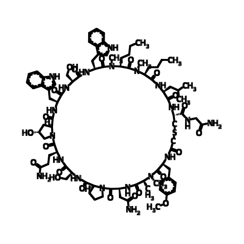 CCCC[C@H]1C(=O)N(C)[C@@H](CCCC)C(=O)N[C@@H](CC(C)C)C(=O)N[C@H](C(=O)NCC(N)=O)CSCC(=O)N[C@@H](Cc2ccc(OC)cc2)C(=O)N(C)[C@@H](C)C(=O)N[C@@H](CC(N)=O)C(=O)N2CCC[C@H]2C(=O)N[C@@H](CO)C(=O)N[C@@H](CCC(N)=O)C(=O)N2C[C@H](O)C[C@H]2C(=O)N[C@@H](Cc2c[nH]c3ccccc23)C(=O)N[C@@H](CO)C(=O)N[C@@H](Cc2c[nH]c3ccccc23)C(=O)N1C